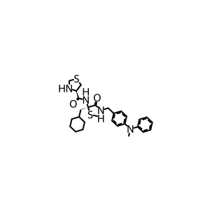 CS[C@@](CC1CCCCC1)(NC(=O)[C@@H]1CSCN1)C(=O)NCc1ccc(N(C)c2ccccc2)cc1